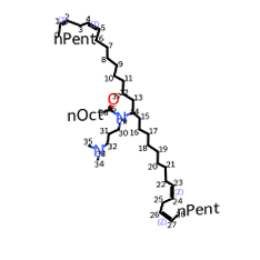 CCCCC/C=C\C/C=C\CCCCCCCCC(CCCCCCCC/C=C\C/C=C\CCCCC)N(CCCN(C)C)C(=O)CCCCCCCC